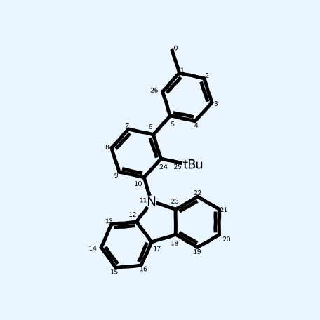 Cc1cccc(-c2cccc(-n3c4ccccc4c4ccccc43)c2C(C)(C)C)c1